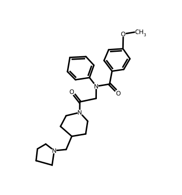 COc1ccc(C(=O)N(CC(=O)N2CCC(CN3CCCC3)CC2)c2ccccc2)cc1